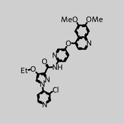 CCOc1cn(-c2ccncc2Cl)nc1C(=O)Nc1ccc(Oc2ccnc3cc(OC)c(OC)cc23)cn1